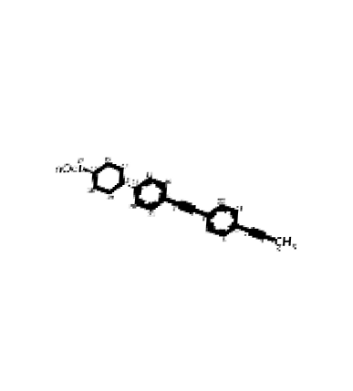 CC#Cc1ccc(C#Cc2ccc([C@H]3CC[C@H](CCCCCCCC)CC3)cc2)cc1